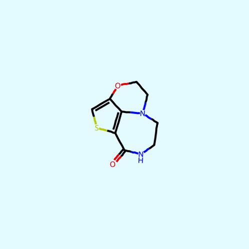 O=C1NCCN2CCOc3csc1c32